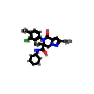 CCOC(=O)c1cc2n(n1)CC(C)(C(=O)NC1CCCCC1)N(c1ccc(C)c(Cl)c1)C2=O